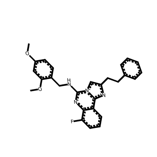 COc1ccc(CNc2nc3c(F)cccc3c3nc(CCc4ccccc4)cn23)c(OC)c1